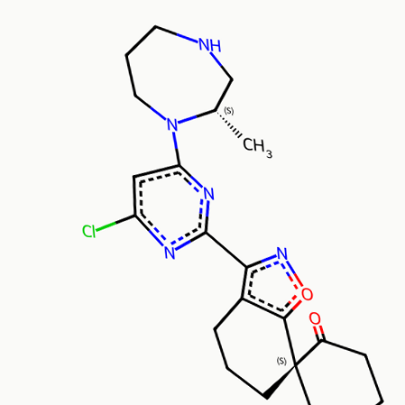 C[C@H]1CNCCCN1c1cc(Cl)nc(-c2noc3c2CCC[C@@]32CCCCC2=O)n1